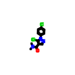 CN(C)C(=O)c1cnn(-c2ccc(Cl)cc2)c1Cl